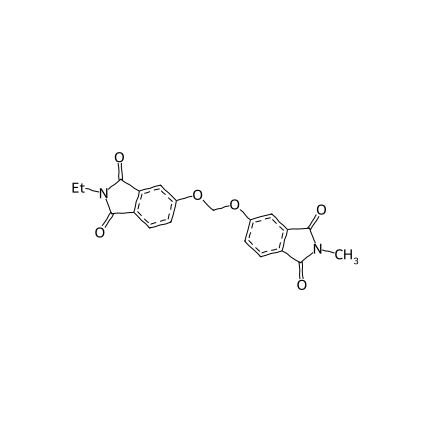 CCN1C(=O)c2ccc(OCOc3ccc4c(c3)C(=O)N(C)C4=O)cc2C1=O